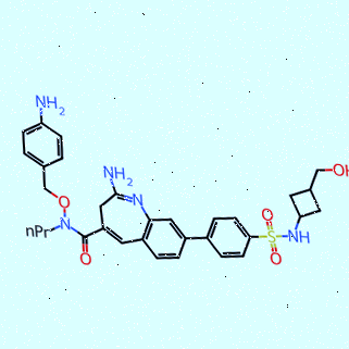 CCCN(OCc1ccc(N)cc1)C(=O)C1=Cc2ccc(-c3ccc(S(=O)(=O)NC4CC(CO)C4)cc3)cc2N=C(N)C1